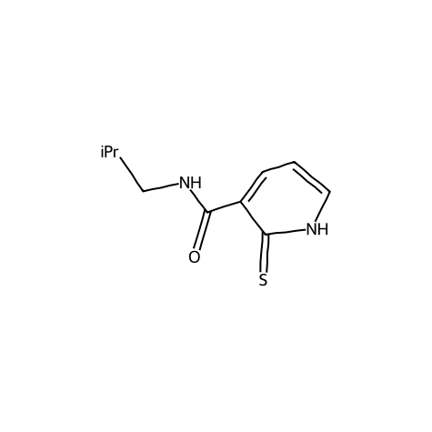 CC(C)CNC(=O)c1ccc[nH]c1=S